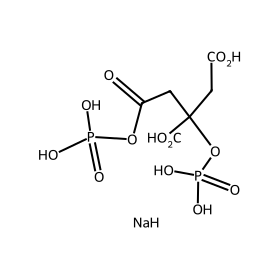 O=C(O)CC(CC(=O)OP(=O)(O)O)(OP(=O)(O)O)C(=O)O.[NaH]